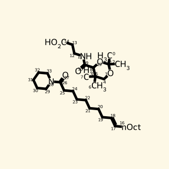 CC1(C)OCC(C)(C)C(C(=O)NCCC(=O)O)O1.CCCCCCCCC=CCCCCCCCC(=O)N1CCCCC1